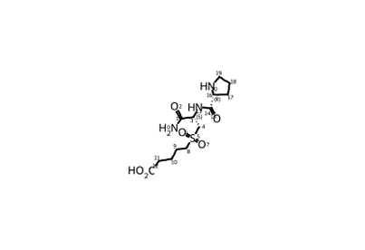 NC(=O)[C@@H](CS(=O)(=O)CCCCC(=O)O)NC(=O)[C@H]1CCCN1